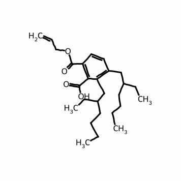 C=CCOC(=O)c1ccc(CC(CC)CCCC)c(CC(CC)CCCC)c1C(=O)O